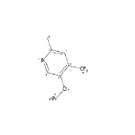 CCCOc1cnc(C)cc1C(F)(F)F